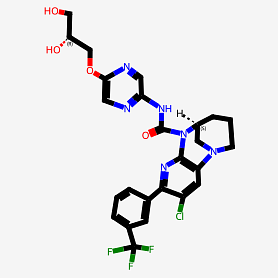 O=C(Nc1cnc(OC[C@H](O)CO)cn1)N1c2nc(-c3cccc(C(F)(F)F)c3)c(Cl)cc2N2CCC[C@H]1C2